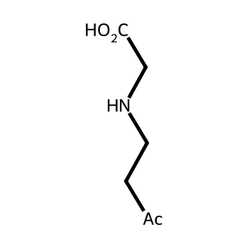 CC(=O)CCNCC(=O)O